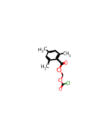 Cc1cc(C)c(C(=O)OCOC(=O)Cl)c(C)c1